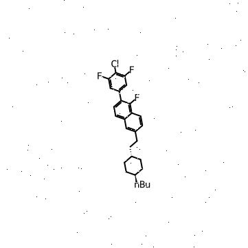 CCCC[C@H]1CC[C@H](CCc2ccc3c(F)c(-c4cc(F)c(Cl)c(F)c4)ccc3c2)CC1